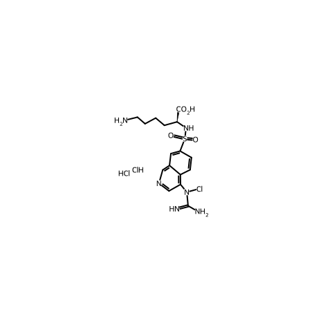 Cl.Cl.N=C(N)N(Cl)c1cncc2cc(S(=O)(=O)N[C@@H](CCCCN)C(=O)O)ccc12